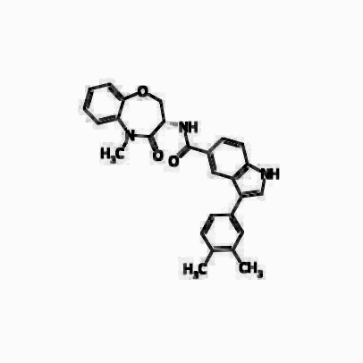 Cc1ccc(-c2c[nH]c3ccc(C(=O)N[C@H]4COc5ccccc5N(C)C4=O)cc23)cc1C